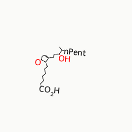 CCCCCC(C)[C@@H](O)CCC1=CCC(=O)[C@@H]1CCCCCCC(=O)O